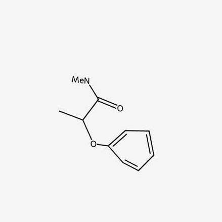 CNC(=O)C(C)Oc1ccccc1